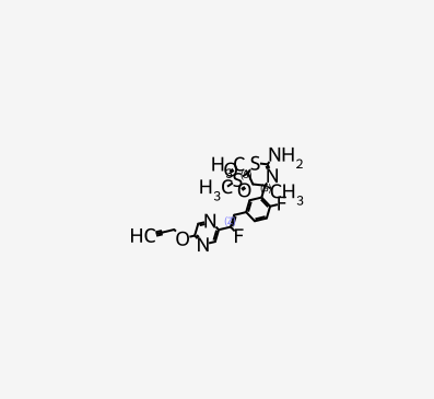 C#CCOc1cnc(/C(F)=C/c2ccc(F)c([C@]3(C)C[C@](C)(S(C)(=O)=O)SC(N)=N3)c2)cn1